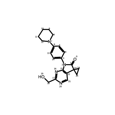 O=C1N(c2ccc(N3CCCCC3)cc2)c2nc(CO)ncc2C12CC2